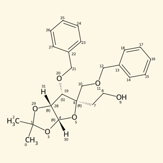 CC1(C)O[C@H]2O[C@](CCO)(COCc3ccccc3)[C@@H](OCc3ccccc3)[C@H]2O1